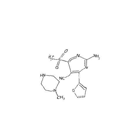 CN1CCNCC1.CS(=O)(=O)c1nc(N)nc(-c2ccco2)c1C#N